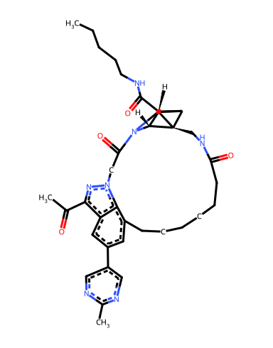 CCCCCNC(=O)[C@@H]1C2C3[C@H]4N1C(=O)Cn1nc(C(C)=O)c5cc(-c6cnc(C)nc6)cc(c51)CCCCCCC(=O)NC[C@]234